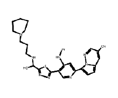 CC(C)Nc1cc(-c2ccc3cc(C#N)cnn23)ncc1-c1nnc(C(O)NCCCN2CCCCC2)s1